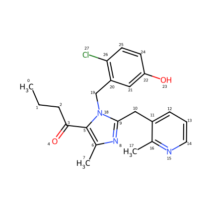 CCCC(=O)c1c(C)nc(Cc2cccnc2C)n1Cc1cc(O)ccc1Cl